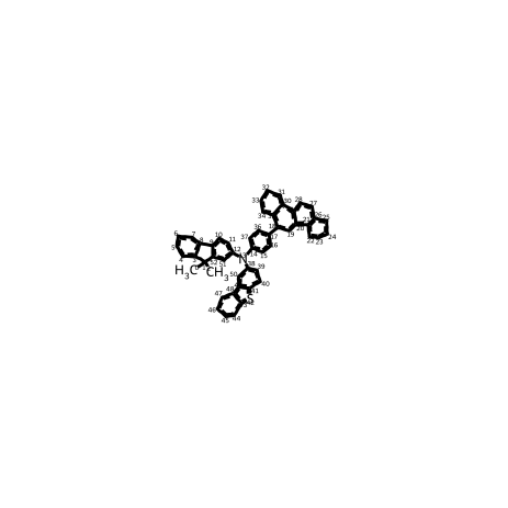 CC1(C)c2ccccc2-c2ccc(N(c3ccc(-c4cc5c6ccccc6ccc5c5ccccc45)cc3)c3ccc4sc5ccccc5c4c3)cc21